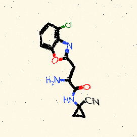 N#CC1(NC(=O)C(N)=Cc2nc3c(Cl)cccc3o2)CC1